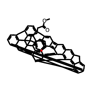 COC(=O)CCCC1(c2ccccc2)C23c4c5ccc6c7cc8c9c%10c(cc%11cc%12c%13cc%14c%15ccc-5c2c%15c2c5c%15c%16c(c(c46)c7c9c%16c4c%10c%11c6c%12c%13c(c%142)c%15c64)C513)C8